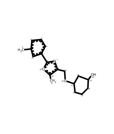 Cc1cccc(-c2nc(COC3CCCC(O)C3)c(C)o2)c1